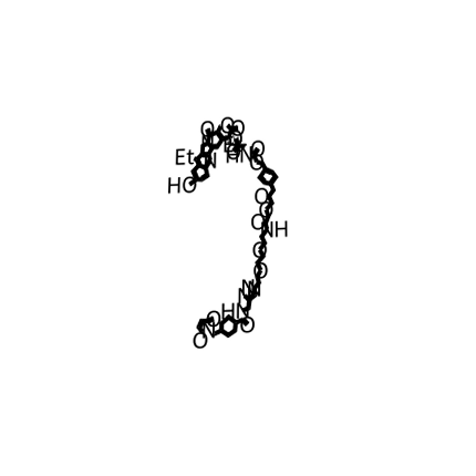 CCc1c2c(nc3ccc(O)cc13)-c1cc3c(c(=O)n1C2)COC(=O)[C@@]3(CC)OC(=O)CNC(=O)OCc1ccc(CC(=O)COCC(=O)NCCOCCOCCn2cc(CNC(=O)C3CCC(CN4C(=O)C=CC4=O)CC3)nn2)cc1